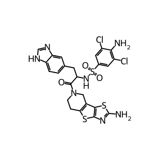 Nc1nc2sc3c(c2s1)CN(C(=O)C(Cc1ccc2[nH]cnc2c1)NS(=O)(=O)c1cc(Cl)c(N)c(Cl)c1)CC3